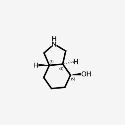 O[C@H]1CCC[C@@H]2CNC[C@H]21